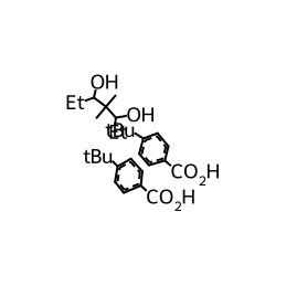 CC(C)(C)c1ccc(C(=O)O)cc1.CC(C)(C)c1ccc(C(=O)O)cc1.CCC(O)C(C)(C)C(O)CC